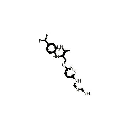 C/C(N)=C(\COc1ccc(N/C=N\C=N)nn1)Nc1ccc(C(F)F)cc1